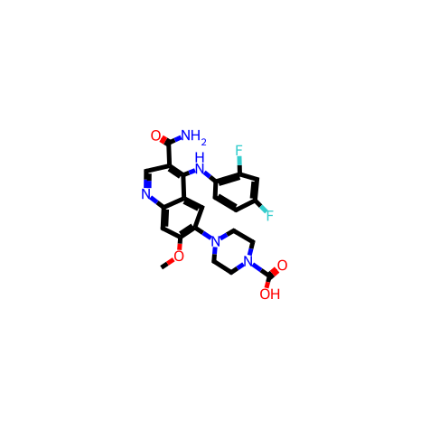 COc1cc2ncc(C(N)=O)c(Nc3ccc(F)cc3F)c2cc1N1CCN(C(=O)O)CC1